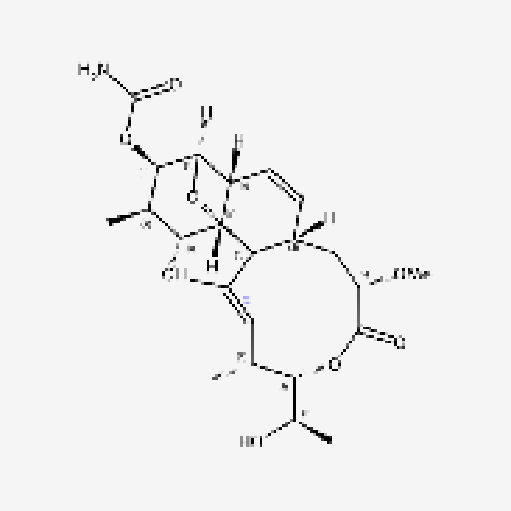 CO[C@H]1C[C@H]2C=C[C@H]3[C@H]4O[C@]2(/C(C)=C/[C@@H](C)[C@@H]([C@@H](C)O)OC1=O)[C@@H]3[C@H](O)[C@@H](C)[C@H]4OC(N)=O